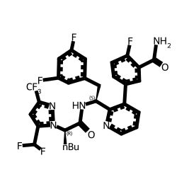 CCCC[C@H](C(=O)N[C@@H](Cc1cc(F)cc(F)c1)c1ncccc1-c1ccc(F)c(C(N)=O)c1)n1nc(C(F)(F)F)cc1C(F)F